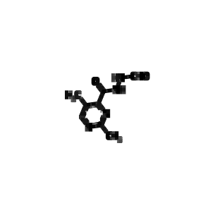 Cc1ncc(C)c(C(=O)NNC=O)n1